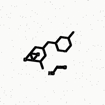 CC1CCCC(CC2CC(C)C34OC3(C2)O4)C1.O=CO